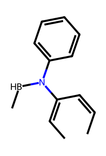 CBN(C(/C=C\C)=C/C)c1ccccc1